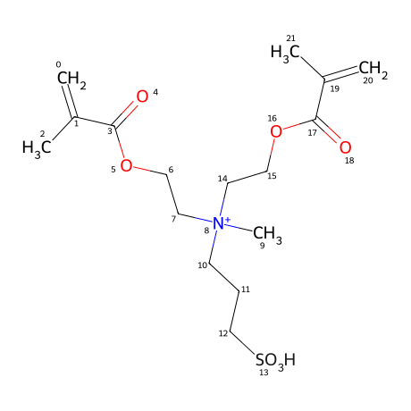 C=C(C)C(=O)OCC[N+](C)(CCCS(=O)(=O)O)CCOC(=O)C(=C)C